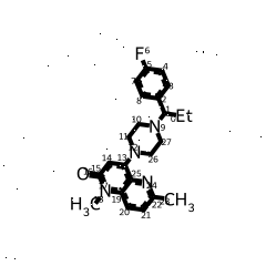 CCC(c1ccc(F)cc1)N1CCN(c2cc(=O)n(C)c3ccc(C)nc23)CC1